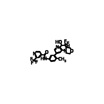 Cc1ccc(NC(=O)c2ccnc(C(F)(F)F)c2)cc1-c1cnc2c(c1)N1CCOC[C@H]1C(F)(F)C2O